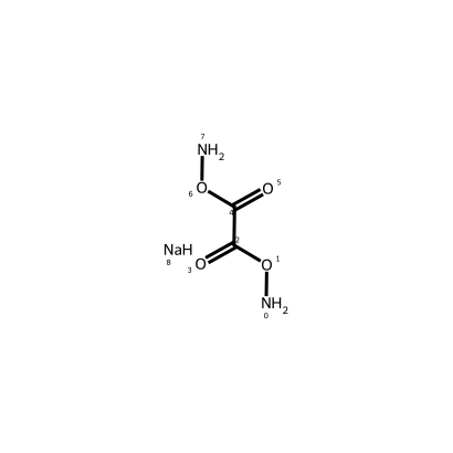 NOC(=O)C(=O)ON.[NaH]